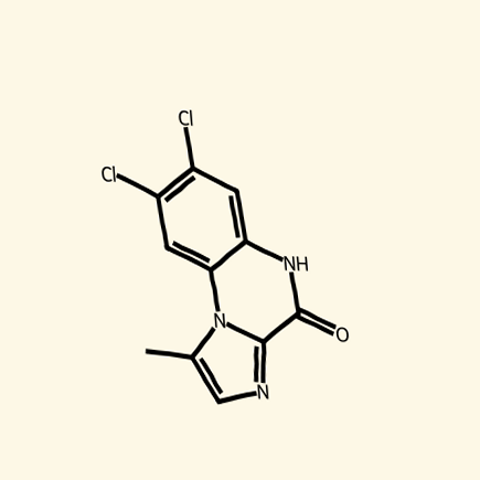 Cc1cnc2c(=O)[nH]c3cc(Cl)c(Cl)cc3n12